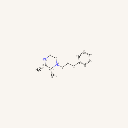 C[C@@H]1NCCN(CCCc2ccccc2)[C@@H]1C